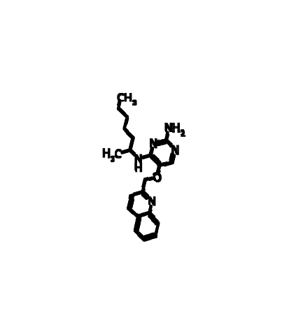 CCCCCC(C)Nc1nc(N)ncc1OCc1ccc2ccccc2n1